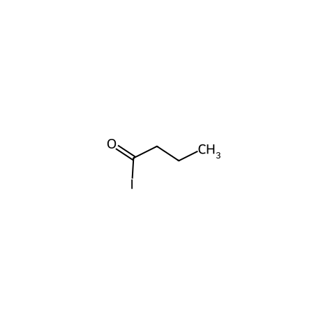 CCCC(=O)I